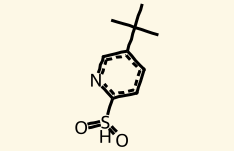 CC(C)(C)c1ccc([SH](=O)=O)nc1